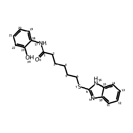 O=C(CCCCCSc1nc2ccccc2[nH]1)Nc1ccccc1O